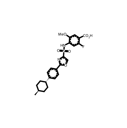 COc1cc(C(=O)O)c(F)cc1NS(=O)(=O)c1coc(-c2ccc([C@H]3CC[C@H](C)CC3)cc2)n1